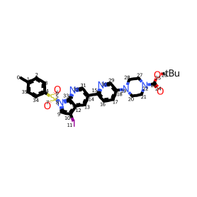 Cc1ccc(S(=O)(=O)n2cc(I)c3cc(-c4ccc(N5CCN(C(=O)OC(C)(C)C)CC5)cn4)cnc32)cc1